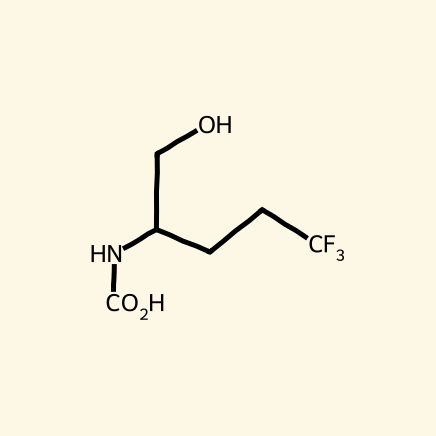 O=C(O)NC(CO)CCC(F)(F)F